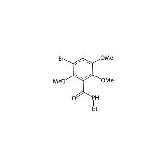 CCPC(=O)c1c(OC)c(Br)cc(OC)c1OC